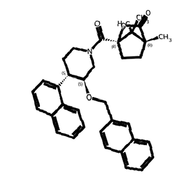 CC1(C)[C@@]2(C)CC[C@@]1(C(=O)N1CC[C@@H](c3cccc4ccccc34)[C@H](OCc3ccc4ccccc4c3)C1)OC2=O